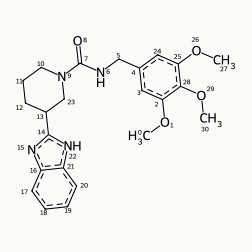 COc1cc(CNC(=O)N2CCCC(c3nc4ccccc4[nH]3)C2)cc(OC)c1OC